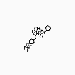 CC1(C)OC[C@H](Cc2ccc(OC(F)(F)F)cc2)N1C(=O)OCc1ccccc1